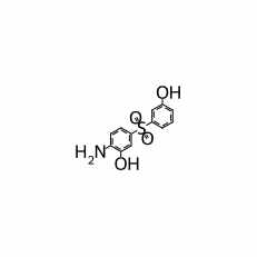 Nc1ccc(S(=O)(=O)c2cccc(O)c2)cc1O